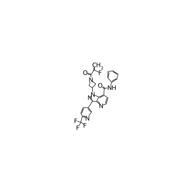 C=C(F)C(=O)N1CC(n2nc(-c3ccc(C(F)(F)F)nc3)c3nccc(C(=O)Nc4ccccc4)c32)C1